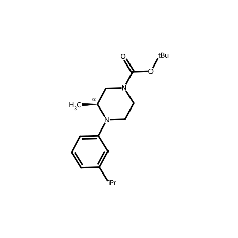 CC(C)c1cccc(N2CCN(C(=O)OC(C)(C)C)C[C@@H]2C)c1